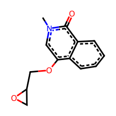 Cn1cc(OCC2CO2)c2ccccc2c1=O